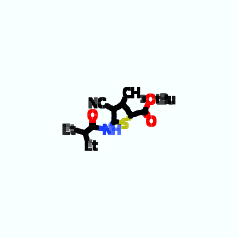 CCC(CC)C(=O)NC1SC(C(=O)OC(C)(C)C)C(C)C1C#N